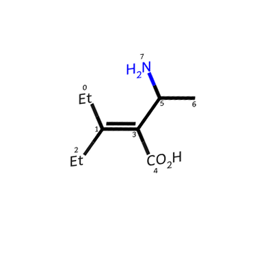 CCC(CC)=C(C(=O)O)C(C)N